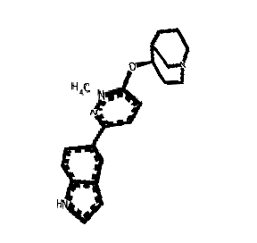 C.c1cc2cc(-c3ccc(O[C@@H]4CCN5CCCC4C5)nn3)ccc2[nH]1